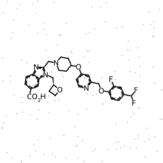 O=C(O)c1ccc2nc(CN3CCC(Oc4ccnc(COc5ccc(C(F)F)cc5F)c4)CC3)n(C[C@@H]3CCO3)c2c1